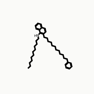 CCCCCCCCCCCCNc1c(CCCCCCCCCCCCc2ccccc2)ccc2ccccc12